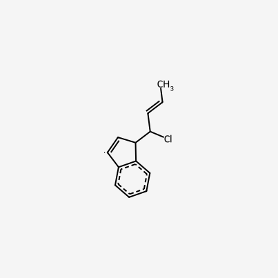 CC=CC(Cl)C1C=[C]c2ccccc21